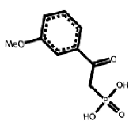 COc1cccc(C(=O)CP(=O)(O)O)c1